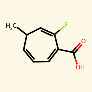 CC1C=CC=C(C(=O)O)C(F)=C1